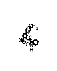 CN1CCN(c2ccc([N+](=O)[O-])c(CC(=O)c3c4cccccc-4[nH]c3=O)c2)CC1